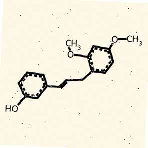 COc1ccc(CC=Cc2cccc(O)c2)c(OC)c1